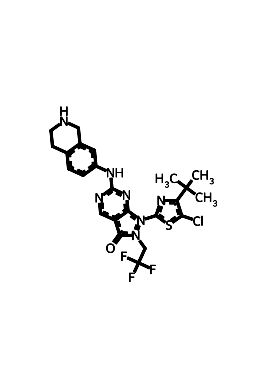 CC(C)(C)c1nc(-n2c3nc(Nc4ccc5c(c4)CNCC5)ncc3c(=O)n2CC(F)(F)F)sc1Cl